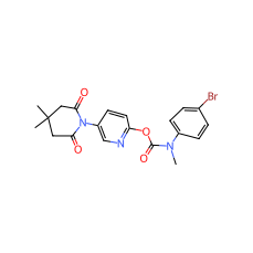 CN(C(=O)Oc1ccc(N2C(=O)CC(C)(C)CC2=O)cn1)c1ccc(Br)cc1